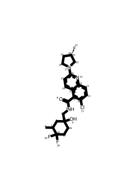 CC1CC(O)(CNC(=O)c2c(Cl)ccc3nc(N4CC[C@H](F)C4)ccc23)CCC1(F)F